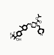 Cc1cc(CN2CCN(Cc3ccncc3)[C@H](C(=O)OC(C)C)C2)ccc1-c1ccc(C(C)(O)C(F)(F)F)cc1